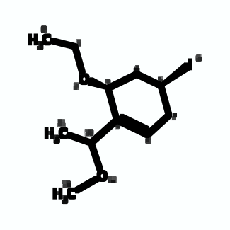 CCO[C@H]1C[C@@H](I)CC=C1C(C)OC